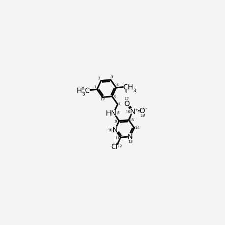 Cc1ccc(C)c(CNc2nc(Cl)ncc2[N+](=O)[O-])c1